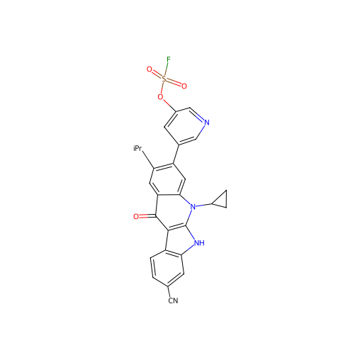 CC(C)c1cc2c(=O)c3c4ccc(C#N)cc4[nH]c3n(C3CC3)c2cc1-c1cncc(OS(=O)(=O)F)c1